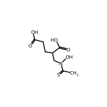 CC(=S)N(O)CC(CCC(=O)O)C(=O)O